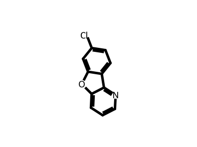 Clc1ccc2c(c1)oc1cccnc12